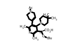 CC(=O)N1CC=C(c2c(C)nc(C)c([C@H](OC(C)(C)C)C(=O)O)c2N2CCC(C)(C)CC2)CC1